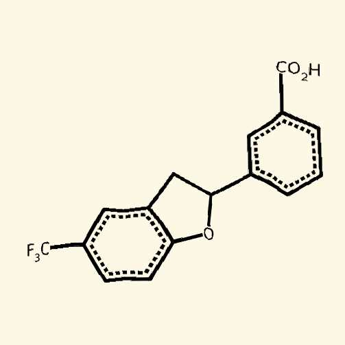 O=C(O)c1cccc(C2Cc3cc(C(F)(F)F)ccc3O2)c1